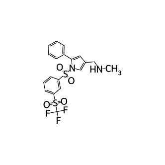 CNCc1cc(-c2ccccc2)n(S(=O)(=O)c2cccc(S(=O)(=O)C(F)(F)F)c2)c1